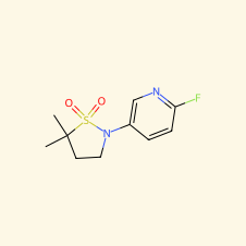 CC1(C)CCN(c2ccc(F)nc2)S1(=O)=O